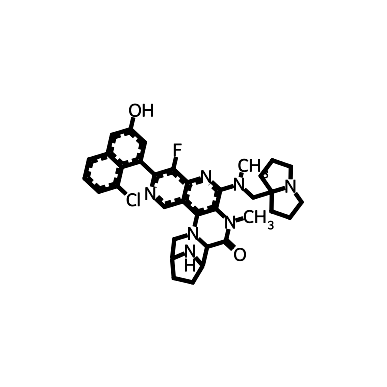 CN(CC12CCCN1CCC2)c1nc2c(F)c(-c3cc(O)cc4cccc(Cl)c34)ncc2c2c1N(C)C(=O)C1C3CCC(CN21)N3